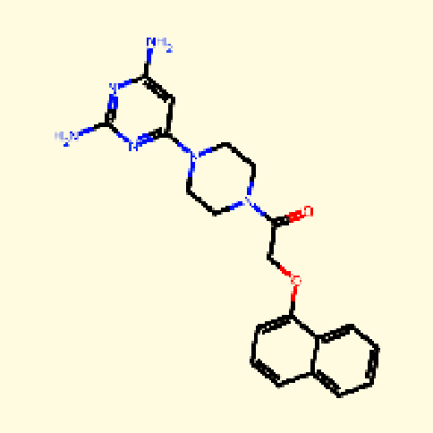 Nc1cc(N2CCN(C(=O)COc3cccc4ccccc34)CC2)nc(N)n1